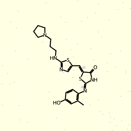 Cc1cc(O)ccc1/N=C1/NC(=O)/C(=C/c2cnc(NCCCN3CCCC3)s2)S1